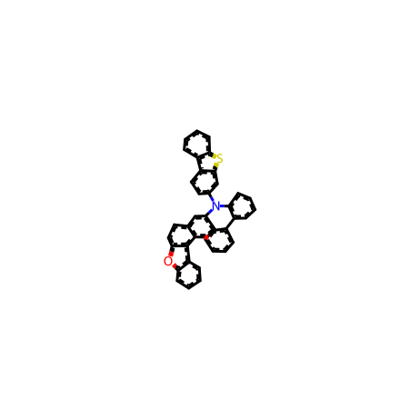 c1ccc(-c2ccccc2N(c2ccc3c(ccc4oc5ccccc5c43)c2)c2ccc3c(c2)sc2ccccc23)cc1